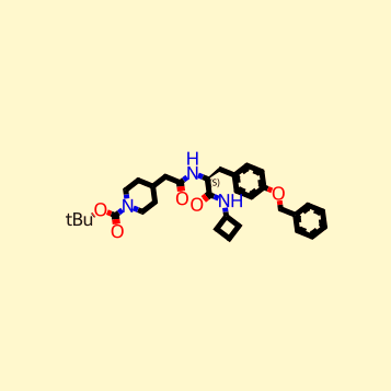 CC(C)(C)OC(=O)N1CCC(CC(=O)N[C@@H](Cc2ccc(OCc3ccccc3)cc2)C(=O)NC2CCC2)CC1